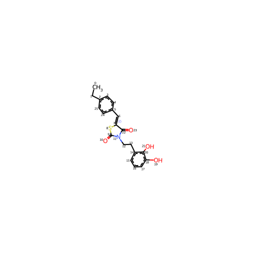 CCc1ccc(/C=C2\SC(=O)N(CCc3cccc(O)c3O)C2=O)cc1